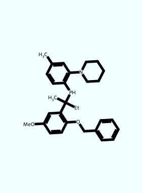 CCC(C)(Pc1ccc(C)cc1N1CCCCC1)c1cc(OC)ccc1OCc1ccccc1